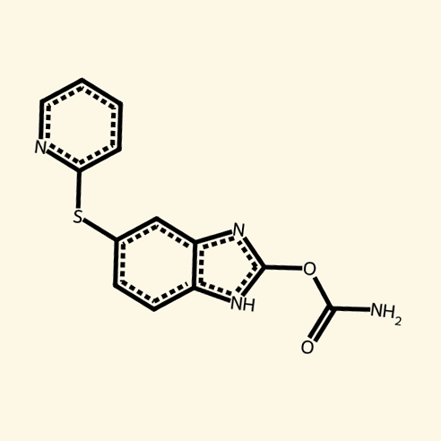 NC(=O)Oc1nc2cc(Sc3ccccn3)ccc2[nH]1